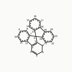 C1=CC2=C(CC1)C1(c3ccccc32)c2ccccc2-c2ccccc21